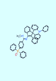 C=N/C(=N\C1=C(c2ccccc2)C2(c3ccccc31)c1ccccc1N(c1ccccc1)c1ccccc12)c1ccc(P(=O)(c2ccccc2)c2ccccc2)cc1